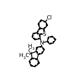 CC1(C)c2ccccc2-c2ccc(N(c3ccccc3)c3cccc4c3sc3cc(Cl)ccc34)cc21